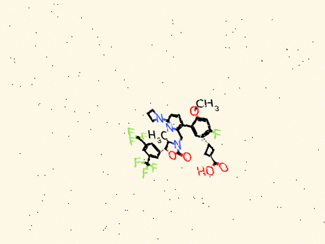 COc1cc(F)c([C@H]2C[C@H](C(=O)O)C2)cc1-c1ccc(N2CCC2)nc1CN1C(=O)O[C@H](c2cc(C(F)(F)F)cc(C(F)(F)F)c2)[C@@H]1C